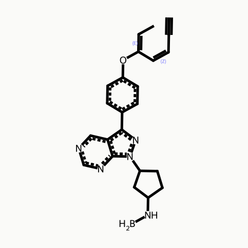 BNC1CCC(n2nc(-c3ccc(OC(/C=C\C#C)=C/C)cc3)c3cncnc32)C1